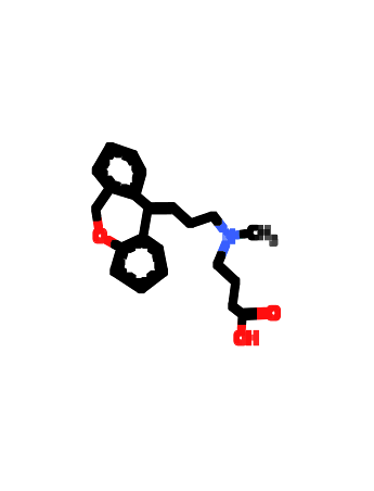 CN(CCC=C1c2ccccc2COc2ccccc21)CCCC(=O)O